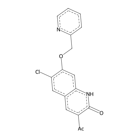 CC(=O)c1cc2cc(Cl)c(OCc3ccccn3)cc2[nH]c1=O